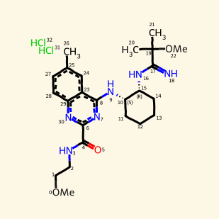 COCCNC(=O)c1nc(N[C@H]2CCCC[C@H]2NC(=N)C(C)(C)OC)c2cc(C)ccc2n1.Cl.Cl